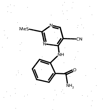 CSc1ncc(C#N)c(Nc2ccccc2C(N)=O)n1